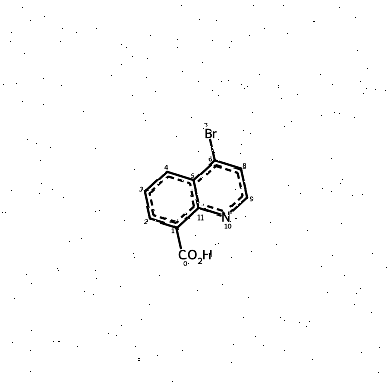 O=C(O)c1cccc2c(Br)ccnc12